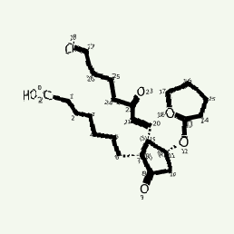 O=C(O)CCCCCC[C@H]1C(=O)C[C@@H](OC2CCCCO2)[C@H]1C=CC(=O)CCCCCl